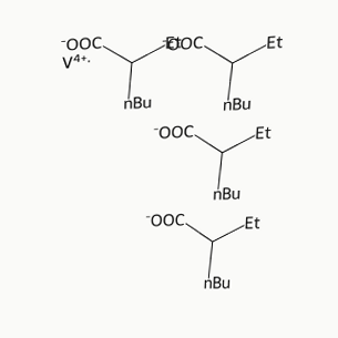 CCCCC(CC)C(=O)[O-].CCCCC(CC)C(=O)[O-].CCCCC(CC)C(=O)[O-].CCCCC(CC)C(=O)[O-].[V+4]